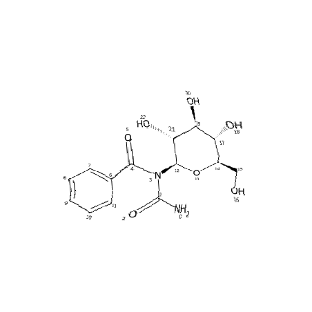 NC(=O)N(C(=O)c1ccccc1)[C@@H]1O[C@H](CO)[C@@H](O)[C@H](O)[C@H]1O